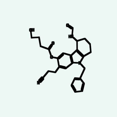 N#CCCc1cc2c(cc1OC(=O)CCCO)c1c(n2Cc2ccccc2)CCCC1NC=O